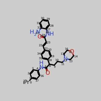 CC(C)c1ccc(NC(=O)C(CCCN2CCOCC2)c2ccc(/C=C/C(=O)Nc3ccccc3N)cc2)cc1